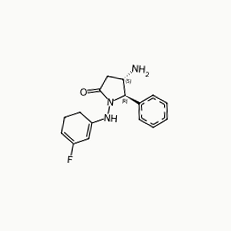 N[C@H]1CC(=O)N(NC2=CC(F)=CCC2)[C@@H]1c1ccccc1